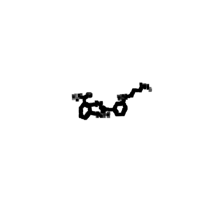 NCCCNc1cccc(-c2nc3c(C(N)=O)cccc3[nH]2)c1